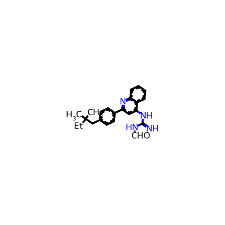 CCC(C)(C)Cc1ccc(-c2cc(NC(=N)NC=O)c3ccccc3n2)cc1